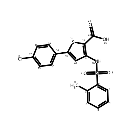 Cc1ccccc1S(=O)(=O)Nc1cc(-c2ccc(Cl)cc2)sc1C(=O)O